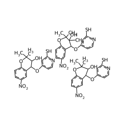 CC1(C)Oc2ccc([N+](=O)[O-])cc2C(Oc2ccnc(S)c2)C1(C)O.CC1(C)Oc2ccc([N+](=O)[O-])cc2C(Oc2ccnc(S)c2)C1O.CC1(C)Oc2ccc([N+](=O)[O-])cc2C(Oc2ccnc(S)c2)C1O